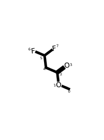 COC(=O)CC(F)F